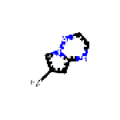 Cc1cc2nccnn2c1